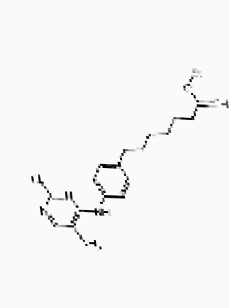 C=C(CCCCCCc1ccc(Nc2nc(Cl)ncc2N)cc1)OCC